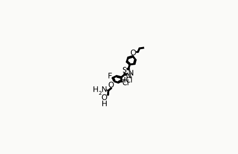 CCCOc1ccc(-c2nnc(-c3cc(F)c(OC[C@H](N)CO)cc3Cl)s2)cc1.Cl